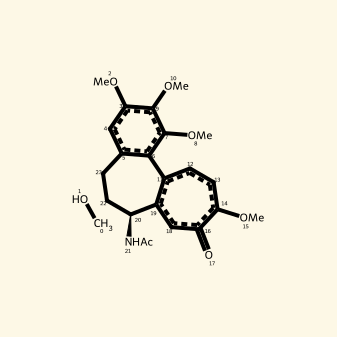 CO.COc1cc2c(c(OC)c1OC)-c1ccc(OC)c(=O)cc1[C@@H](NC(C)=O)CC2